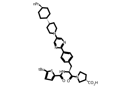 CCC[C@H]1CC[C@H](C2CCN(c3cnc(-c4ccc(C[C@H](NC(=O)c5ccc(C(C)(C)C)s5)C(=O)N5CC[C@H](C(=O)O)C5)cc4)nc3)CC2)CC1